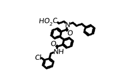 O=C(O)CCN(CCCc1ccccc1)C(=O)c1ccccc1-c1ccccc1C(=O)NCc1ccccc1Cl